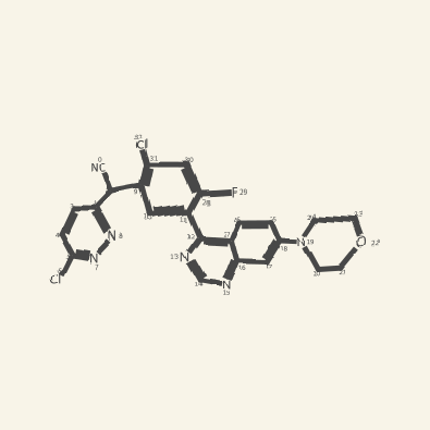 N#CC(c1ccc(Cl)nn1)c1cc(-c2ncnc3cc(N4CCOCC4)ccc23)c(F)cc1Cl